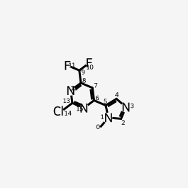 Cn1cncc1-c1cc(C(F)F)nc(Cl)n1